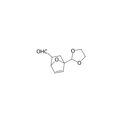 O=CC1CC2(C3OCCO3)C=CC1O2